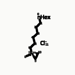 CCCCCCCCCCCC[N+]1(C)CC1.[Cl-]